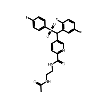 CC(=O)NCCNC(=O)c1ccc(C(c2cc(F)ccc2F)S(=O)(=O)c2ccc(F)cc2)cn1